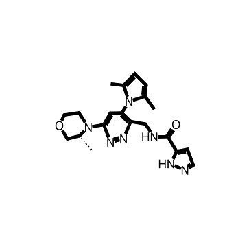 Cc1ccc(C)n1-c1cc(N2CCOC[C@H]2C)nnc1CNC(=O)c1ccn[nH]1